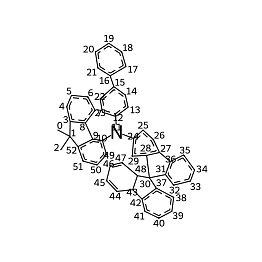 CC1(C)c2ccccc2-c2c(N(c3ccc(-c4ccccc4)cc3)c3ccc4c(c3)C3(c5ccccc5-4)c4ccccc4C4C=CC=CC43)cccc21